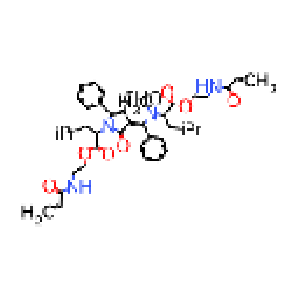 C=CC(=O)NCCOC(=O)C(CC(C)C)N1C(=O)/C(=C(\c2ccccc2)N(C)C(CC(C)C)C(=O)OCCNC(=O)C=C)C(C=O)=C1c1ccccc1